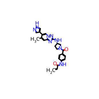 C=CC(=O)Nc1ccc(C(=O)N2CC[C@@H](Nc3nc4cc(C)c(-c5cn[nH]c5)cn4n3)C2)cc1